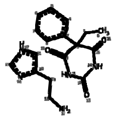 CCC1(c2ccccc2)C(=O)NC(=O)NC1=O.NCCc1c[nH]cn1